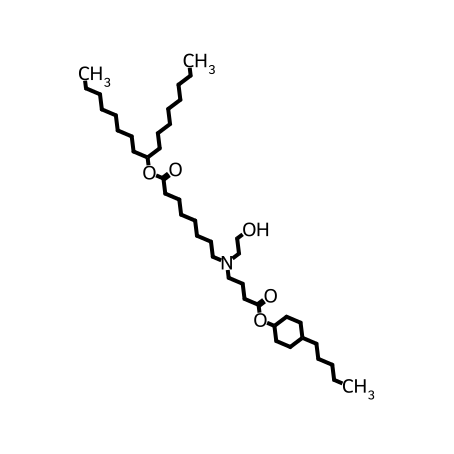 CCCCCCCCC(CCCCCCCC)OC(=O)CCCCCCCN(CCO)CCCC(=O)OC1CCC(CCCCC)CC1